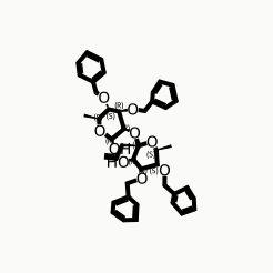 C=CC[C@@]1(O[C@@H]2[C@H](OCc3ccccc3)[C@@H](OCc3ccccc3)[C@H](C)O[C@H]2O)O[C@@H](C)[C@H](OCc2ccccc2)[C@@H](OCc2ccccc2)[C@H]1O